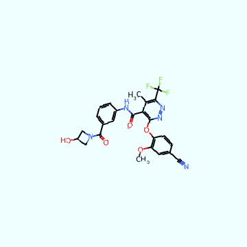 COc1cc(C#N)ccc1Oc1nnc(C(F)(F)F)c(C)c1C(=O)Nc1cccc(C(=O)N2CC(O)C2)c1